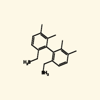 BCc1ccc(C)c(C)c1-c1c(CB)ccc(C)c1C